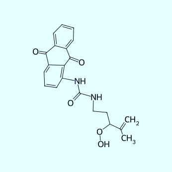 C=C(C)C(CCNC(=O)Nc1cccc2c1C(=O)c1ccccc1C2=O)OO